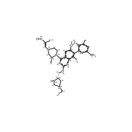 Cc1cc(N)nc(-c2c(Cl)cc3c(N4CCN(C=C(F)C=O)C[C@@H]4C)nc(OC[C@@H]4C[C@@H](CF)CN4)nc3c2F)c1C(F)(F)F